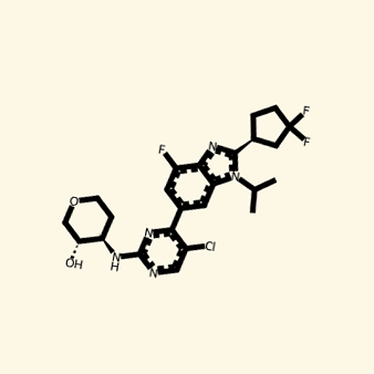 CC(C)n1c([C@H]2CCC(F)(F)C2)nc2c(F)cc(-c3nc(N[C@@H]4CCOC[C@H]4O)ncc3Cl)cc21